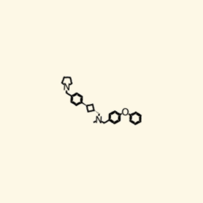 CN(Cc1ccc(Oc2ccccc2)cc1)C[C@H]1C[C@H](c2ccc(CN3CCCC3)cc2)C1